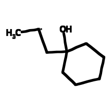 C[CH]CC1(O)CCCCC1